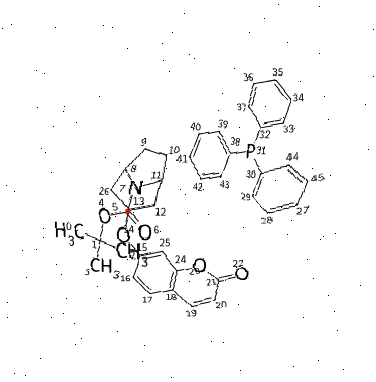 CC(C)(C)OC(=O)N1C2CCC1CC(Oc1ccc3ccc(=O)oc3c1)C2.c1ccc(P(c2ccccc2)c2ccccc2)cc1